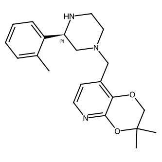 Cc1ccccc1[C@@H]1CN(Cc2ccnc3c2OCC(C)(C)O3)CCN1